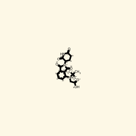 CC(C)(C)N(CC(=O)O)c1cccc2c1C(=O)N(C1CCC(=O)NC1=O)C2=O